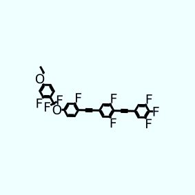 CCOc1ccc(C(F)(F)Oc2ccc(C#Cc3cc(F)c(C#Cc4cc(F)c(F)c(F)c4)c(F)c3)c(F)c2)c(F)c1